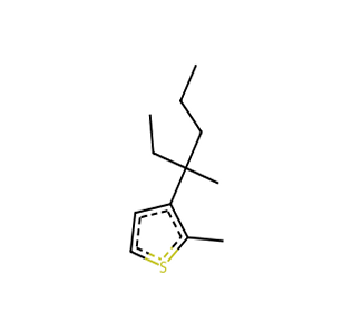 CCCC(C)(CC)c1ccsc1C